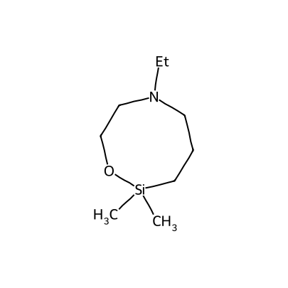 CCN1CCC[Si](C)(C)OCC1